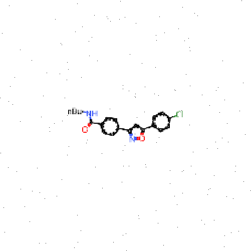 CCCCNC(=O)c1ccc(-c2cc(-c3ccc(Cl)cc3)on2)cc1